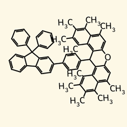 Cc1c(C)c(C)c2c3c(cc(C)c2c1C)Oc1cc(C)c2c(C)c(C)c(C)c(C)c2c1C3c1ccc(-c2ccc3c(c2)C(c2ccccc2)(c2ccccc2)c2ccccc2-3)cc1